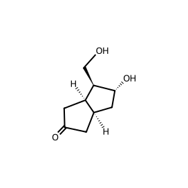 O=C1C[C@@H]2C[C@@H](O)[C@H](CO)[C@@H]2C1